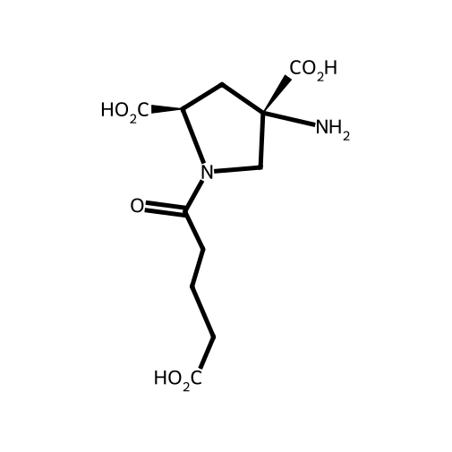 N[C@@]1(C(=O)O)C[C@H](C(=O)O)N(C(=O)CCCC(=O)O)C1